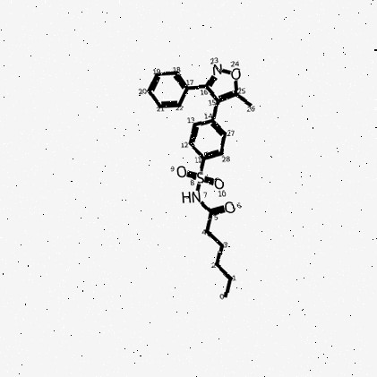 CCCCCC(=O)NS(=O)(=O)c1ccc(-c2c(-c3ccccc3)noc2C)cc1